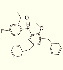 COc1c(CC2C=CC=CC2)cc(CC2C=CC=CC2)cc1Pc1ccc(F)cc1C(C)=O